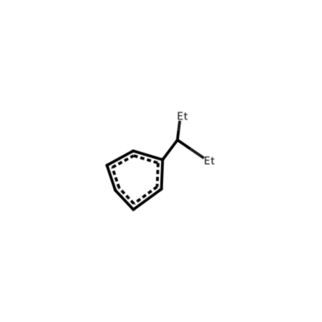 CCC(CC)c1ccccc1